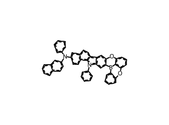 c1ccc(N(c2ccc3ccccc3c2)c2ccc3c(ccc4c5cc6c(cc5n(-c5ccccc5)c34)B3c4ccccc4Oc4cccc(c43)O6)c2)cc1